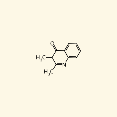 CC1=Nc2ccccc2C(=O)C1C